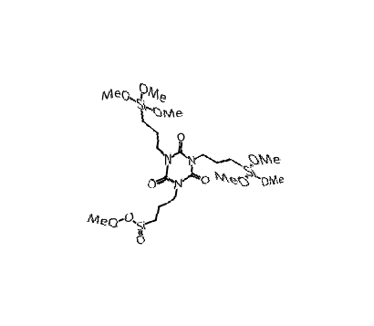 COO[Si](=O)CCCn1c(=O)n(CCC[Si](OC)(OC)OC)c(=O)n(CCC[Si](OC)(OC)OC)c1=O